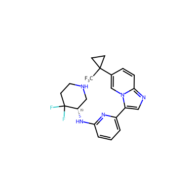 FC1(F)CCNC[C@@H]1Nc1cccc(-c2cnc3ccc(C4(C(F)(F)F)CC4)cn23)n1